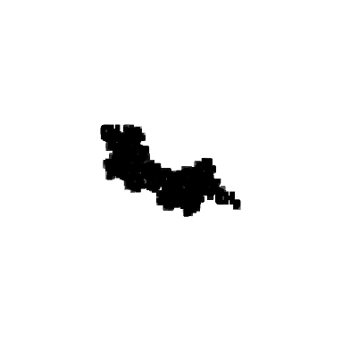 C=Cc1ccc(C2(c3ccc(C(F)(F)F)cc3)c3ccccc3-c3ccc(N(c4ccc(-c5ccc(N(c6ccc7c(c6)C(c6ccc(C=C)cc6)(c6ccc(C(F)(F)F)cc6)c6ccccc6-7)c6cccc7ccccc67)cc5F)c(F)c4)c4cccc5ccccc45)cc32)cc1